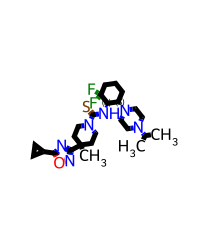 CC(C)N1CCN([C@H]2CCCC(F)(F)[C@@H]2NC(=S)N2CCC(C)(c3noc(C4CC4)n3)CC2)CC1